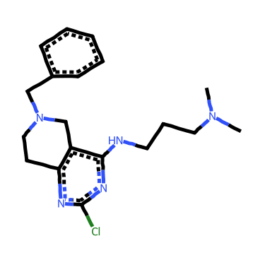 CN(C)CCCNc1nc(Cl)nc2c1CN(Cc1ccccc1)CC2